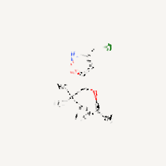 C[SiH](C)OC(c1cc(CCl)no1)C(C)(C)C